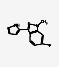 Cn1nc(-c2ccc[nH]2)c2ccc(F)cc21